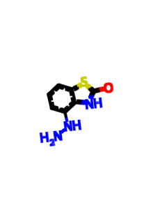 NNc1cccc2sc(=O)[nH]c12